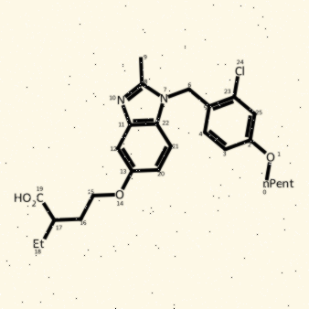 CCCCCOc1ccc(Cn2c(C)nc3cc(OCCC(CC)C(=O)O)ccc32)c(Cl)c1